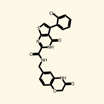 O=C1COc2ccc(CNC(=O)c3nc4scc(-c5ccccc5Cl)c4c(=O)[nH]3)cc2N1